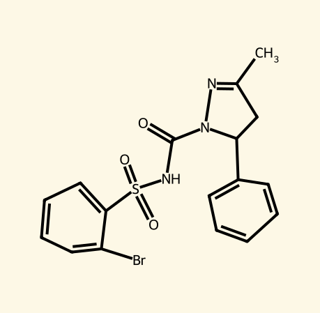 CC1=NN(C(=O)NS(=O)(=O)c2ccccc2Br)C(c2ccccc2)C1